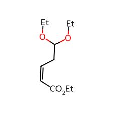 CCOC(=O)/C=C\CC(OCC)OCC